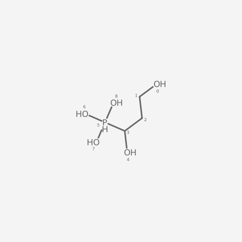 OCCC(O)[PH](O)(O)O